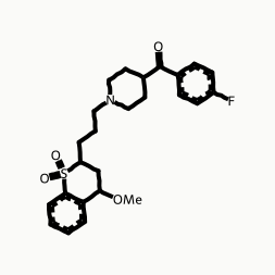 COC1CC(CCCN2CCC(C(=O)c3ccc(F)cc3)CC2)S(=O)(=O)c2ccccc21